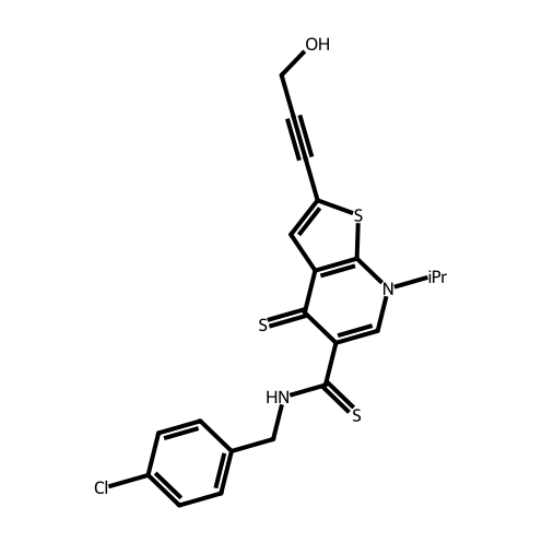 CC(C)n1cc(C(=S)NCc2ccc(Cl)cc2)c(=S)c2cc(C#CCO)sc21